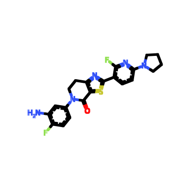 Nc1cc(N2CCc3nc(-c4ccc(N5CCCC5)nc4F)sc3C2=O)ccc1F